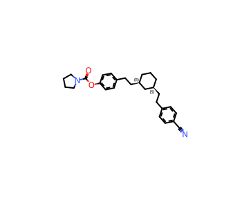 N#Cc1ccc(CC[C@@H]2CCC[C@H](CCc3ccc(OC(=O)N4CCCC4)cc3)C2)cc1